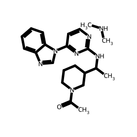 CC(=O)N1CCCC(C(C)Nc2nccc(-n3cnc4ccccc43)n2)C1.CNC